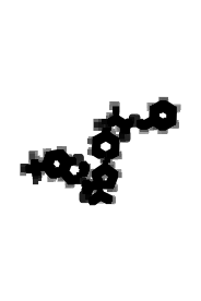 CC(C)[C@]1(C(=O)N2COc3ccc(C(F)(F)F)cc3C2)CC[C@@H](N2CCC(N[C@@H](C)C(=O)OCc3ccccc3)CC2)C1